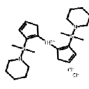 C[Si](C)(C1=[C]([Hf+2][C]2=C([Si](C)(C)N3CCCCC3)C=CC2)CC=C1)N1CCCCC1.[Cl-].[Cl-]